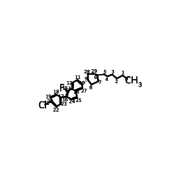 CCCCCC[C@H]1CC[C@H](c2ccc3c(F)c(-c4ccc(Cl)cc4)ccc3c2)CC1